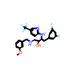 COc1cccc(CNCC(O)C(Cc2cc(F)cc(F)c2)Nc2ccc(C(F)(F)F)cn2)c1